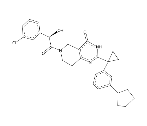 O=C([C@H](O)c1cccc(Cl)c1)N1CCc2nc(C3(c4cccc(C5CCCC5)c4)CC3)[nH]c(=O)c2C1